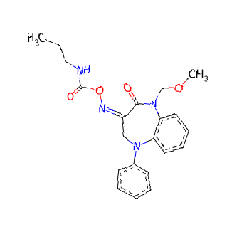 CCCNC(=O)ON=C1CN(c2ccccc2)c2ccccc2N(COC)C1=O